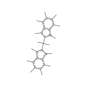 Cc1c(C)c(C)c2c(c1C)c(C)c(C(C)(C)c1c(C)c3c(C)c(C)c(C)c(C)c3n1C)n2C